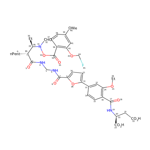 CCCCC[C@@H](C(=O)NCNC(=O)c1ccc(-c2ccc(C(=O)N[C@@H](CC(=O)O)C(=O)O)c(OCC)c2)o1)[C@@H](CC)N(C=O)OC(=O)c1ccc(OC)cc1OCF